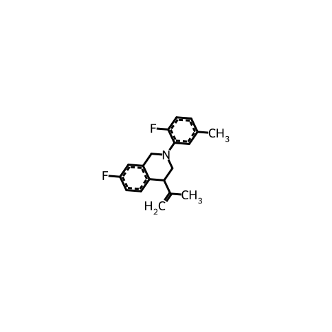 C=C(C)C1CN(c2cc(C)ccc2F)Cc2cc(F)ccc21